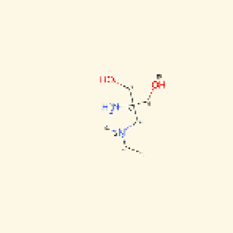 CCN(C)CC(N)(CO)CO